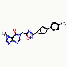 Cn1cnc2ncn(Cc3nc(C4C5C=C(c6ccc(C#N)cc6)CC54)no3)c(=O)c21